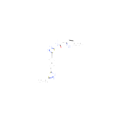 CN/C=C\C(=N)CC(=O)Nc1nnc(C2CC3(CC(c4nnc(NC)s4)C3)C2)s1